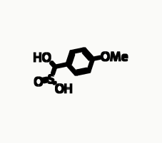 COc1ccc(C(O)S(=O)O)cc1